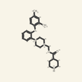 Cc1ccc(Sc2ccccc2N2CCN(COC(=O)C3CCNCC3)CC2)c(C)c1